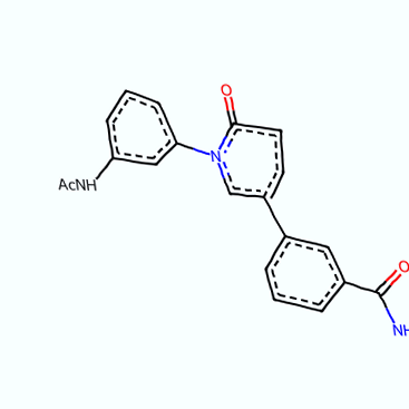 CC(=O)Nc1cccc(-n2cc(-c3cccc(C(N)=O)c3)ccc2=O)c1